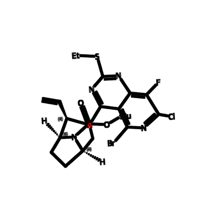 C=C[C@@H]1[C@@H]2CC[C@H](CN1c1nc(SCC)nc3c(F)c(Cl)nc(Br)c13)N2C(=O)OC(C)(C)C